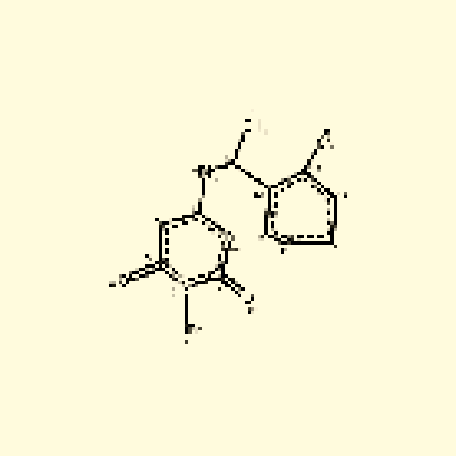 CC(Nc1cc(=O)n(C(C)C)c(=O)[nH]1)c1ccccc1C#N